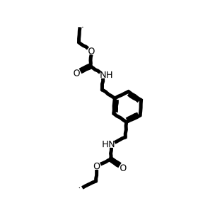 [CH2]COC(=O)NCc1cccc(CNC(=O)OC[CH2])c1